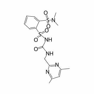 Cc1cc(C)nc(CNC(=O)NS(=O)(=O)c2ccccc2S(=O)(=O)N(C)C)n1